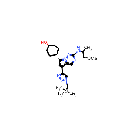 COCC(C)Nc1ncc2c(-c3cn(C[Si](C)(C)C)nn3)cc([C@H]3CC[C@H](O)CC3)n2n1